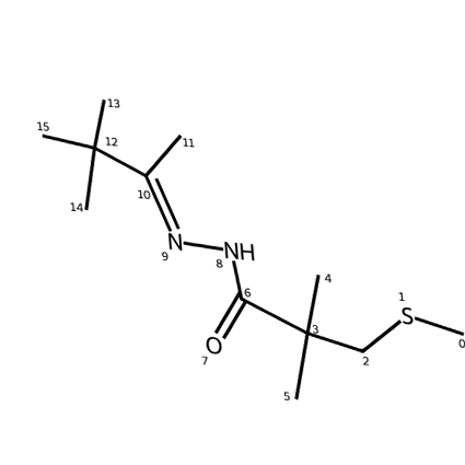 CSCC(C)(C)C(=O)N/N=C(\C)C(C)(C)C